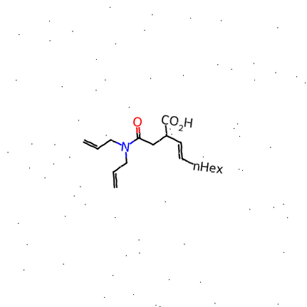 C=CCN(CC=C)C(=O)CC(/C=C/CCCCCC)C(=O)O